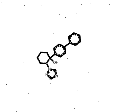 OC1(c2ccc(-c3ccccc3)cc2)CCCCC1n1cncn1